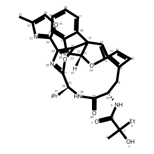 CCC(C)(O)C(=O)N[C@H]1Cc2ccc3c(c2)C2(c4ccccc4N[C@H]2O3)c2oc(nc2-c2nc(C)co2)[C@H](C(C)C)NC1=O